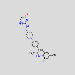 CCc1cc(C#N)cc(C)c1NC(Cc1ccc(N2CCC(CNC3=NC(=O)CCN3)CC2)cc1)C(=O)O